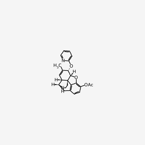 CC(=O)Oc1ccc2c3c1O[C@H]1[C@@H](Oc4ccccn4)C(C)=C[C@H]4[C@@H](C2)NCC[C@@]341